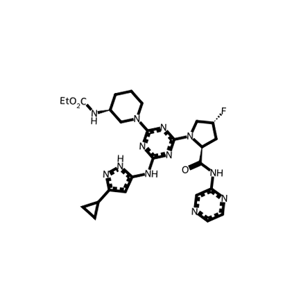 CCOC(=O)N[C@H]1CCCN(c2nc(Nc3cc(C4CC4)n[nH]3)nc(N3C[C@H](F)C[C@H]3C(=O)Nc3cnccn3)n2)C1